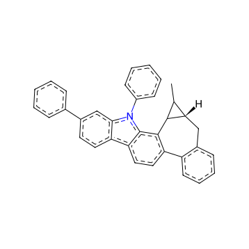 CC1C2c3c(ccc4c5ccc(-c6ccccc6)cc5n(-c5ccccc5)c34)-c3ccccc3C[C@@H]12